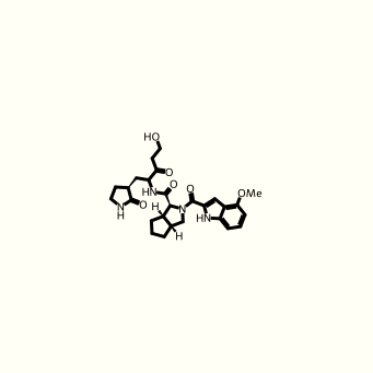 COc1cccc2[nH]c(C(=O)N3C[C@@H]4CCC[C@@H]4[C@H]3C(=O)NC(C[C@@H]3CCNC3=O)C(=O)CCO)cc12